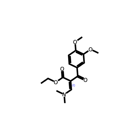 CCOC(=O)/C(=C\N(C)C)C(=O)c1ccc(OC)c(OC)c1